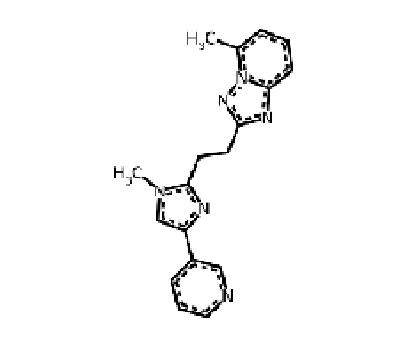 Cc1cccc2nc(CCc3nc(-c4cccnc4)cn3C)nn12